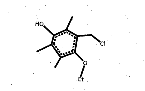 CCOc1c(C)c(C)c(O)c(C)c1CCl